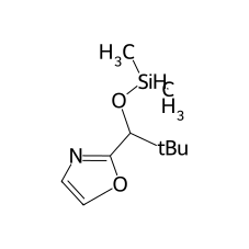 C[SiH](C)OC(c1ncco1)C(C)(C)C